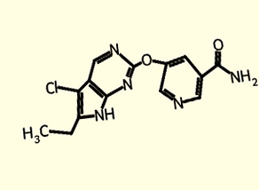 CCc1[nH]c2nc(Oc3cncc(C(N)=O)c3)ncc2c1Cl